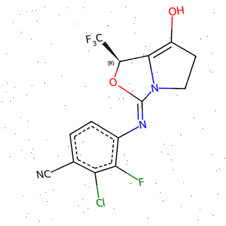 N#Cc1ccc(N=C2O[C@@H](C(F)(F)F)C3=C(O)CCN23)c(F)c1Cl